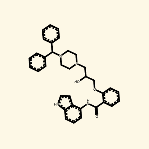 O=C(Nc1cccc2[nH]ccc12)c1ccccc1OCC(O)CN1CCN(C(c2ccccc2)c2ccccc2)CC1